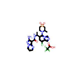 CC(NC(=O)c1c(N)nn2cccnc12)c1cc(Cl)c2cncn2c1N1CCS(=O)(=O)CC1C.O=C(O)C(F)(F)F